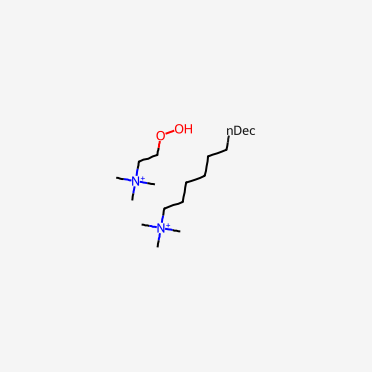 CCCCCCCCCCCCCCCC[N+](C)(C)C.C[N+](C)(C)CCOO